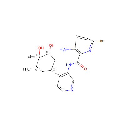 CC[C@]1(O)[C@H](O)C[C@H](c2ccncc2NC(=O)c2nc(Br)ccc2N)C[C@@H]1C